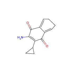 NC1=C(C2CC2)C(=O)C2=CCCC=C2C1=O